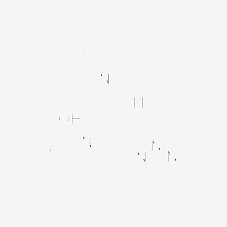 CC(CC1CC(n2nnc3ccccc32)CCN1C(=O)O)N(Cc1ccccc1)Cc1ccccc1